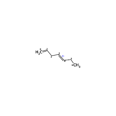 C=[C]C/C=C/CC